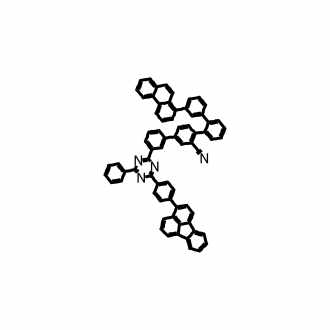 N#Cc1cc(-c2cccc(-c3nc(-c4ccccc4)nc(-c4ccc(-c5ccc6c7c(cccc57)-c5ccccc5-6)cc4)n3)c2)ccc1-c1ccccc1-c1cccc(-c2cccc3c2ccc2ccccc23)c1